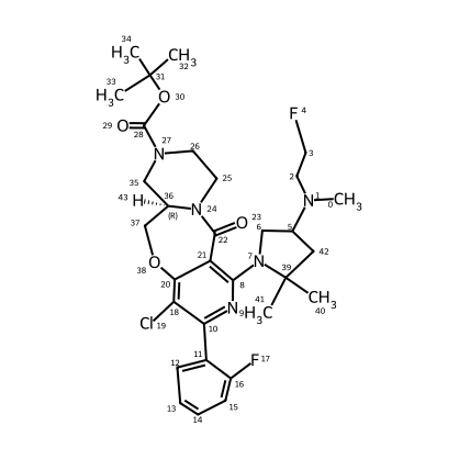 CN(CCF)C1CN(c2nc(-c3ccccc3F)c(Cl)c3c2C(=O)N2CCN(C(=O)OC(C)(C)C)C[C@@H]2CO3)C(C)(C)C1